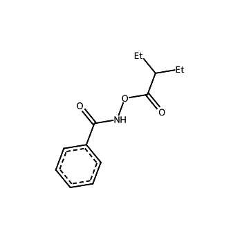 CCC(CC)C(=O)ONC(=O)c1ccccc1